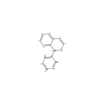 C1=Cc2ccccc2N(c2ncncn2)C1